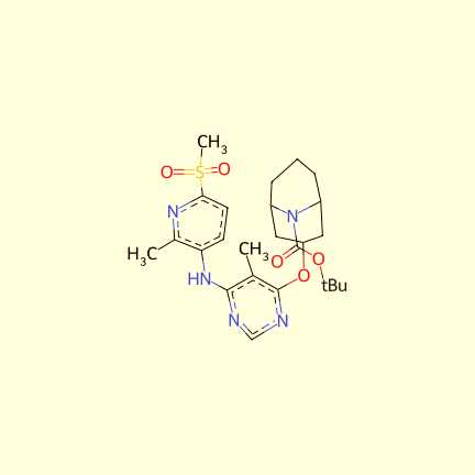 Cc1nc(S(C)(=O)=O)ccc1Nc1ncnc(OC2CC3CCCC(C2)N3C(=O)OC(C)(C)C)c1C